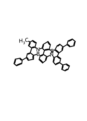 Cc1ccc2c(c1)-c1cc(-c3ccccc3)ccc1B1c3cccc4c3-c3c(cccc3N12)B1c2ccc(-c3ccccc3)cc2-c2cc(-c3ccccc3)ccc2N14